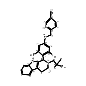 C[C@@H]1Cc2c([nH]c3ccccc23)C(c2c(F)cc(OCc3ccc(Br)cn3)cc2F)N1CC(C)(C)F